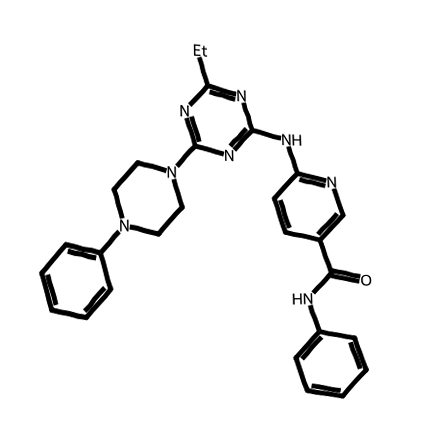 CCc1nc(Nc2ccc(C(=O)Nc3ccccc3)cn2)nc(N2CCN(c3ccccc3)CC2)n1